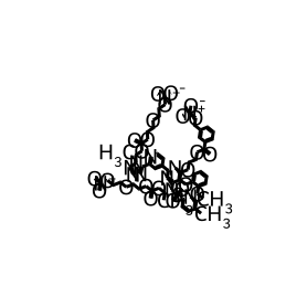 COc1ccccc1Oc1c(OCCOC(=O)c2cccc(CO[N+](=O)[O-])c2)nc(-c2ccnc(-c3nnnn3C(C)OC(=O)OCCOCCO[N+](=O)[O-])c2)nc1N(C(C)OC(=O)OCCOCCO[N+](=O)[O-])S(=O)(=O)c1ccc(C)cn1